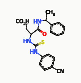 CC(NC(=O)C(CC(=O)O)NC(=S)Nc1ccc(C#N)cc1)c1ccccc1